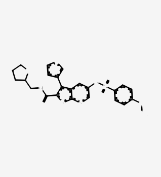 O=C(NCC1CCCO1)c1[nH]c2ncc(NS(=O)(=O)c3ccc(OC(F)(F)F)cc3)cc2c1-c1ccsc1